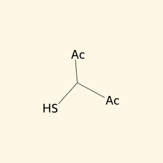 CC(=O)C(S)C(C)=O